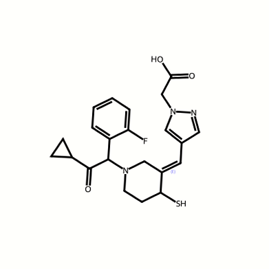 O=C(O)Cn1cc(/C=C2\CN(C(C(=O)C3CC3)c3ccccc3F)CCC2S)cn1